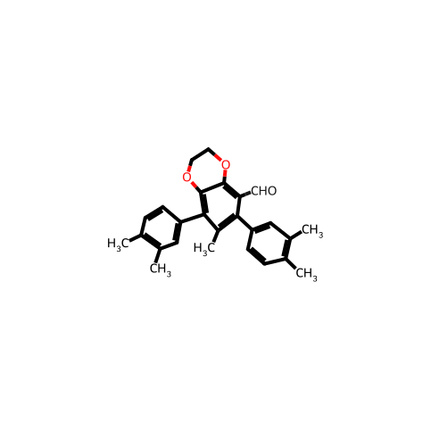 Cc1ccc(-c2c(C)c(-c3ccc(C)c(C)c3)c3c(c2C=O)OCCO3)cc1C